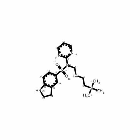 C[Si](C)(C)CCOCN(c1ncccn1)S(=O)(=O)c1ccc2c(c1)CCN2